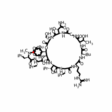 CC[C@H](C)[C@@H]1NC(=O)[C@@H](CCCNC(=N)N)NC(=O)[C@H](CC(C)C)NC(=O)[C@H]([C@H](O)C(C)C)NC(=O)[C@@H](NC(=O)[C@H](CC(C)C)NC(=O)[C@@H](CC(C)C)N(C)C(=O)OC(C)(C)C)[C@@H](c2ccccc2)OC(=O)[C@H](CO)NC(=O)[C@H]([C@H](O)C(N)=O)NC(=O)CNC(=O)[C@H]([C@H](C)O)NC1=O